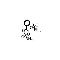 CS(N)(=O)=O.CS(N)(=O)=O.O=C(F)c1ccccc1